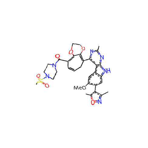 COc1cc2c(cc1-c1c(C)noc1C)[nH]c1nc(C)nc(C3=C4OCCOC4=C(C(=O)N4CCN(S(C)(=O)=O)CC4)C=CC3)c12